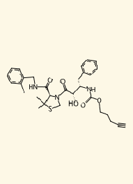 C#CCCCOC(=O)N[C@@H](Cc1ccccc1)[C@H](O)C(=O)N1CSC(C)(C)[C@H]1C(=O)NCc1ccccc1C